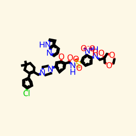 CC1(C)CCC(CN2CCN(c3ccc(C(=O)NS(=O)(=O)c4ccc(NCC5(O)COCCOC5)c([N+](=O)[O-])c4)c(Oc4cnc5[nH]ccc5c4)c3)CC2)=C(c2ccc(Cl)cc2)C1